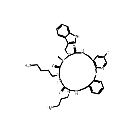 CN1C(=O)[C@H](CCCCN)NC(=O)[C@H](CCCN)NCc2ccccc2Sc2ncc(Cl)cc2CNC(=O)[C@@H]1Cc1c[nH]c2ccccc12